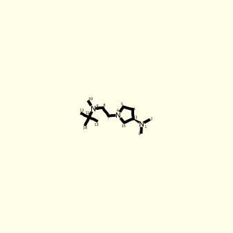 CN(C)[C@@H]1CCN(CCN(C)C(C)(C)C)C1